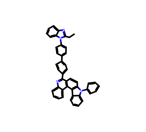 CCc1nc2ccccc2n1-c1ccc(-c2ccc(-c3nc4ccccc4c4c3ccc3c4c4ccccc4n3-c3ccccc3)cc2)cc1